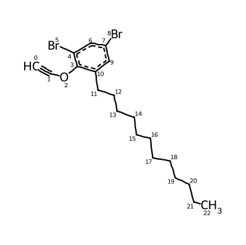 C#COc1c(Br)cc(Br)cc1CCCCCCCCCCCC